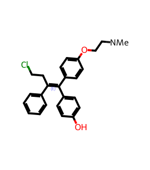 CNCCOc1ccc(/C(=C(\CCCl)c2ccccc2)c2ccc(O)cc2)cc1